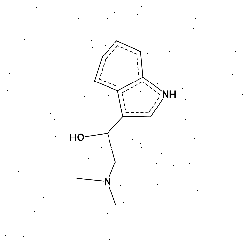 CN(C)CC(O)c1c[nH]c2ccccc12